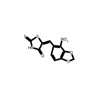 O=C1NC(=S)SC1=Cc1ccc2c(c1[N+](=O)[O-])OCO2